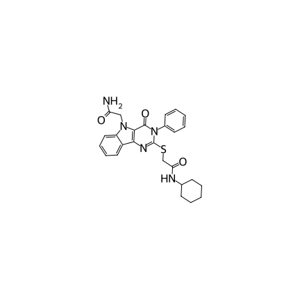 NC(=O)Cn1c2ccccc2c2nc(SCC(=O)NC3CCCCC3)n(-c3ccccc3)c(=O)c21